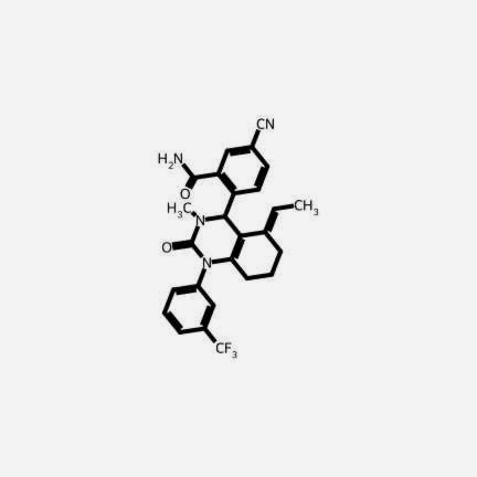 CC=C1CCCC2=C1C(c1ccc(C#N)cc1C(N)=O)N(C)C(=O)N2c1cccc(C(F)(F)F)c1